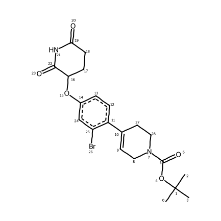 CC(C)(C)OC(=O)N1CC=C(c2ccc(OC3CCC(=O)NC3=O)cc2Br)CC1